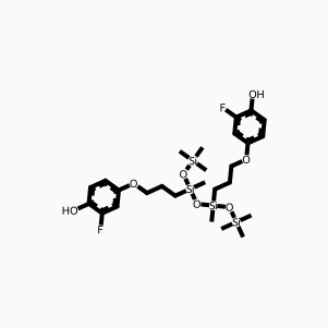 C[Si](C)(C)O[Si](C)(CCCOc1ccc(O)c(F)c1)O[Si](C)(CCCOc1ccc(O)c(F)c1)O[Si](C)(C)C